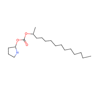 CCCCCCCCCCCCC(C)OC(=O)OC1CCC[N]1